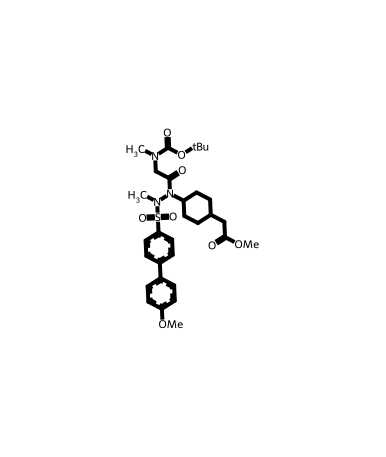 COC(=O)CC1CCC(N(C(=O)CN(C)C(=O)OC(C)(C)C)N(C)S(=O)(=O)c2ccc(-c3ccc(OC)cc3)cc2)CC1